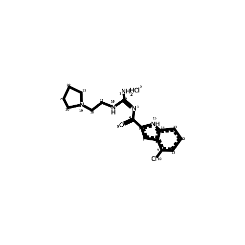 Cl.NC(=NC(=O)c1cc2c(Cl)cccc2[nH]1)NCCN1CCCC1